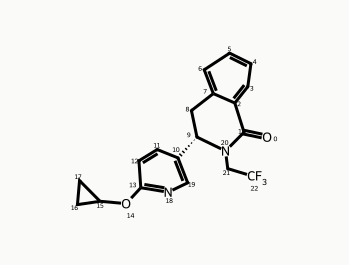 O=C1c2ccccc2C[C@@H](c2ccc(OC3CC3)nc2)N1CC(F)(F)F